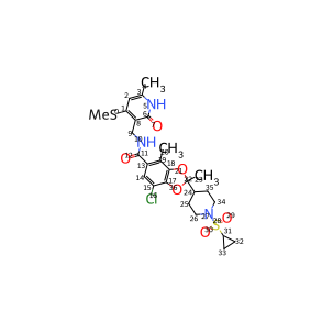 CSc1cc(C)[nH]c(=O)c1CNC(=O)c1cc(Cl)c2c(c1C)OC(C)(C1CCN(S(=O)(=O)C3CC3)CC1)O2